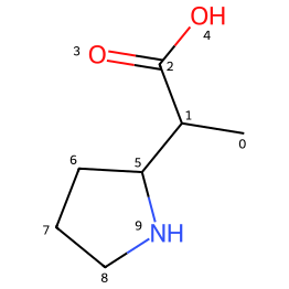 CC(C(=O)O)C1CCCN1